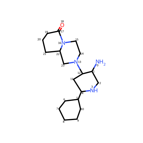 NC1CNC(C2CCCCC2)CC1N1CCN2C(=O)CCCC2C1